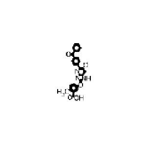 Cc1ccc(Oc2nc3nc(-c4ccc(C(=O)c5ccccc5)cc4)c(Cl)cc3[nH]2)cc1C(=O)O